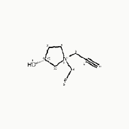 C#CC[N+]1(CF)CC[C@@H](O)C1